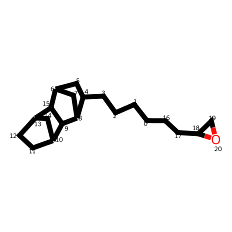 C(CCCC1CC2CC1C1C3CCC(C3)C21)CCC1CO1